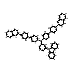 c1cc(N(c2ccc(-c3ccc(-c4ccc5ccccc5c4)cc3)cc2)c2ccc(-c3ccc(-c4ccc5ccccc5c4)cc3)cc2)cc(-n2c3ccccc3c3ccccc32)c1